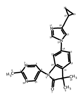 Cc1ncc(N2C(=O)C(C)(C)c3ccc(-n4cnc(C5CC5)c4)cc32)cn1